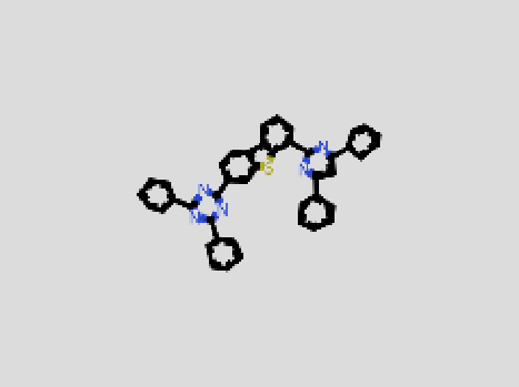 c1ccc(-c2cc(-c3ccccc3)nc(-c3cccc4c3sc3cc(-c5nc(-c6ccccc6)nc(-c6ccccc6)n5)ccc34)n2)cc1